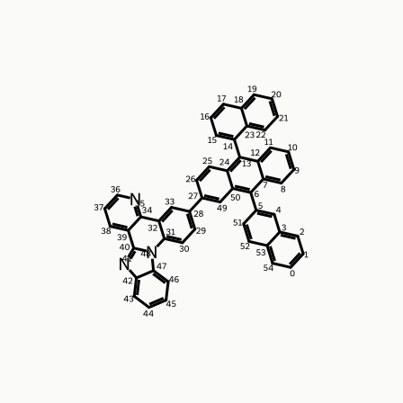 c1ccc2cc(-c3c4ccccc4c(-c4cccc5ccccc45)c4ccc(-c5ccc6c(c5)c5ncccc5c5nc7ccccc7n65)cc34)ccc2c1